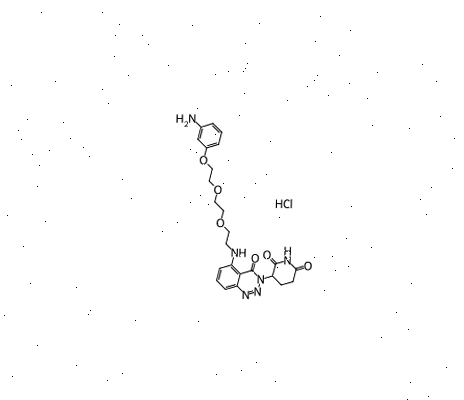 Cl.Nc1cccc(OCCOCCOCCNc2cccc3nnn(C4CCC(=O)NC4=O)c(=O)c23)c1